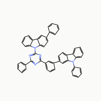 c1ccc(-c2ccc3c(c2)c2ccccc2n3-c2nc(-c3ccccc3)nc(-c3cccc(-c4ccc5c6ccccc6n(-c6ccccc6)c5c4)c3)n2)cc1